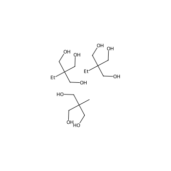 CC(CO)(CO)CO.CCC(CO)(CO)CO.CCC(CO)(CO)CO